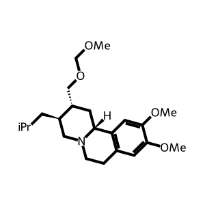 COCOC[C@@H]1C[C@@H]2c3cc(OC)c(OC)cc3CCN2C[C@H]1CC(C)C